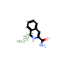 Cl.Cl.Cl.NC(=O)c1cc2ccccc2cn1